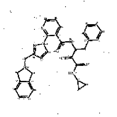 O=C(NC1CC1)C(=O)C(Cc1ccccc1)NC(=O)c1cccnc1-n1ccc(CN2Cc3ccccc3C2)n1